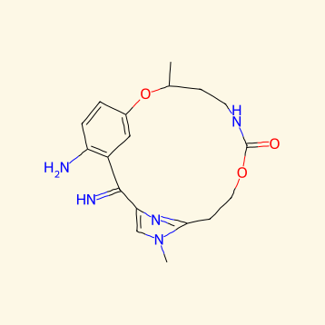 CC1CCNC(=O)OCCc2nc(cn2C)C(=N)c2cc(ccc2N)O1